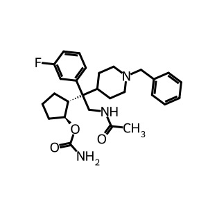 CC(=O)NCC(c1cccc(F)c1)(C1CCN(Cc2ccccc2)CC1)[C@H]1CCC[C@@H]1OC(N)=O